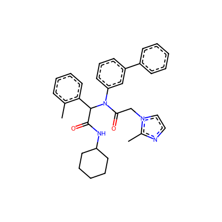 Cc1ccccc1C(C(=O)NC1CCCCC1)N(C(=O)Cn1ccnc1C)c1cccc(-c2ccccc2)c1